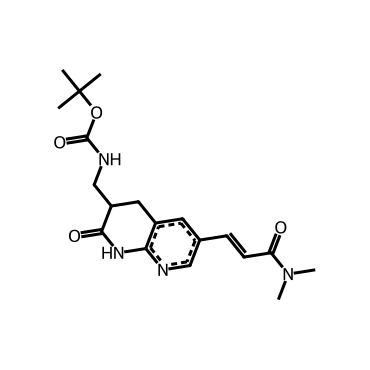 CN(C)C(=O)/C=C/c1cnc2c(c1)CC(CNC(=O)OC(C)(C)C)C(=O)N2